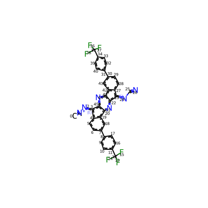 [C-]#[N+]/N=c1\c2ccc(-c3ccc(C(F)(F)F)cc3)cc2c2nc3/c(=N/C#N)c4ccc(-c5ccc(C(F)(F)F)cc5)cc4c3nc12